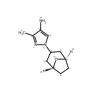 Cc1nn(C2C[C@H]3CC[C@H](C2)O3)cc1N